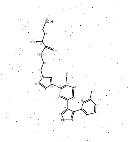 Cc1cccc(-c2n[nH]cc2-c2ccc(F)c(-c3cnn(CCNC(=O)[C@@H](N)CCC(=O)O)c3)c2)n1